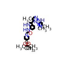 Cc1cnc(Nc2cc(C)n(C)n2)nc1-c1c[nH]c2c(NC(=O)CN3CC=C(B4OC(C)(C)C(C)(C)O4)CC3)cccc12